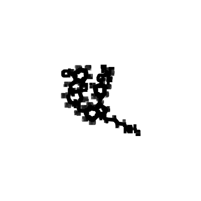 NCCCCn1cc(-c2ccc(OC(F)(F)F)cc2)c2cc(CN3CCN(Cc4c(Cl)cccc4Cl)CC3)ccc21